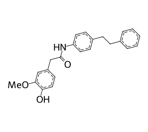 COc1cc(CC(=O)Nc2ccc(CCc3ccccc3)cc2)ccc1O